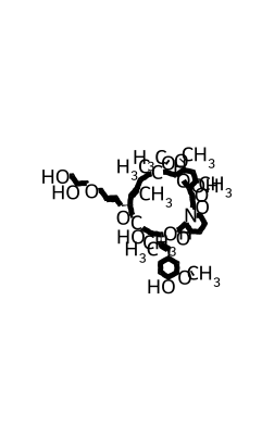 CO[C@H]1C[C@@H](C)C/C(C)=C/[C@@H](C/C=C/COC[C@H](O)CO)C(=O)C[C@H](O)[C@@H](C)[C@@H](/C(C)=C/[C@@H]2CC[C@@H](O)[C@H](OC)C2)OC(=O)[C@@H]2CCCCN2C(=O)C(=O)[C@]2(O)O[C@H]1[C@@H](OC)C[C@H]2C